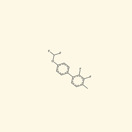 Cc1ccc(-c2ccc(OC(F)F)cc2)c(F)c1F